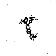 CC(F)(F)c1nc(C23CCC(CN(C(=O)C4CC(O)(C(F)(F)F)C4)c4cccc(P(C)(C)=O)c4)(CC2)CC3)no1